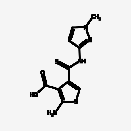 Cn1ccc(NC(=S)c2csc(N)c2C(=O)O)n1